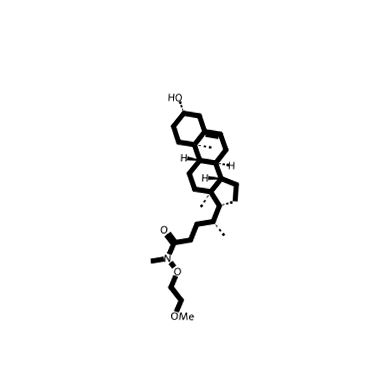 COCCON(C)C(=O)CC[C@@H](C)[C@H]1CC[C@H]2[C@@H]3CC=C4C[C@@H](O)CC[C@]4(C)[C@H]3CC[C@]12C